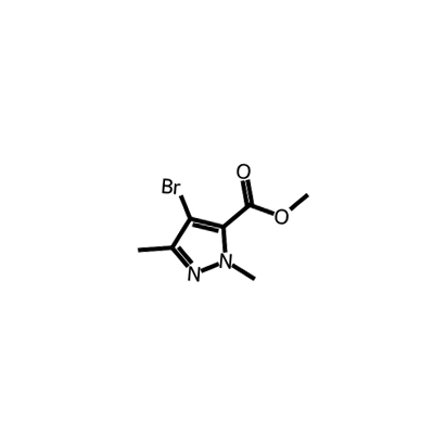 COC(=O)c1c(Br)c(C)nn1C